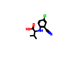 CC(C)C(Nc1ccc(Cl)cc1C#N)C(=O)O